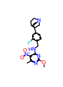 COc1nc(C)c([N+](=O)[O-])c(NCc2ccc(C3=CN4CCC3CC4)cc2F)n1